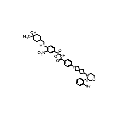 CC(C)c1ccccc1[C@@H]1COCCN1C1CC2(C1)CN(c1ccc(C(=O)NS(=O)(=O)c3ccc(NCC4CCC(C)(O)CC4)c([N+](=O)[O-])c3)cc1)C2